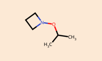 CC(C)ON1CCC1